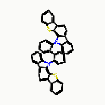 c1ccc(-n2c3ccccc3c3ccc4c5ccccc5sc4c32)c(-c2ccccc2-n2c3ccccc3c3ccc4c5ccccc5sc4c32)c1